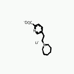 O=C([O-])c1ccc(CCN2CCCCCC2)cn1.[Li+]